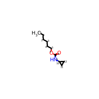 CCCCCCOC(=O)NC1CC1